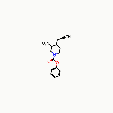 C#CCC1CCN(C(=O)Oc2ccccc2)CC1[N+](=O)[O-]